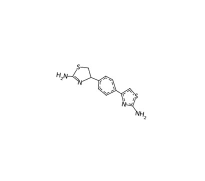 NC1=NC(c2ccc(-c3csc(N)n3)cc2)CS1